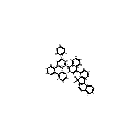 CC1(C)c2ccc3ccccc3c2-c2cccc(-c3ccc(-c4nc(-c5ccccc5)cc(-c5ccccc5-c5ccccc5)n4)c4ccccc34)c21